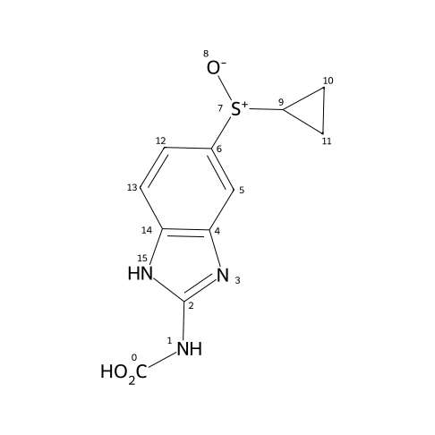 O=C(O)Nc1nc2cc([S+]([O-])C3CC3)ccc2[nH]1